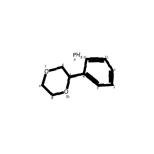 P.c1ccc(C2COCCO2)cc1